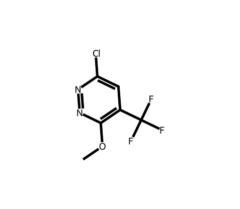 COc1nnc(Cl)cc1C(F)(F)F